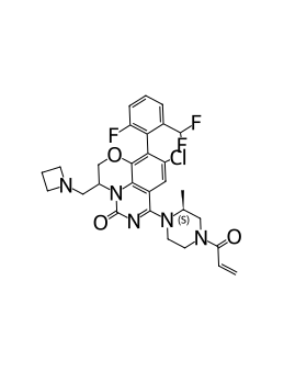 C=CC(=O)N1CCN(c2nc(=O)n3c4c(c(-c5c(F)cccc5C(F)F)c(Cl)cc24)OCC3CN2CCC2)[C@@H](C)C1